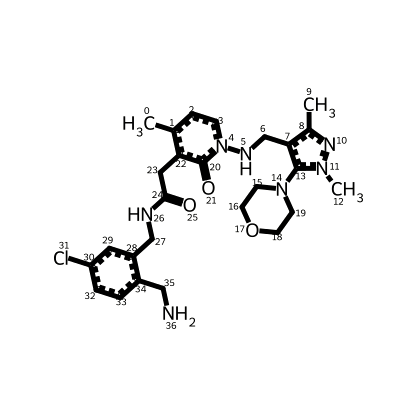 Cc1ccn(NCc2c(C)nn(C)c2N2CCOCC2)c(=O)c1CC(=O)NCc1cc(Cl)ccc1CN